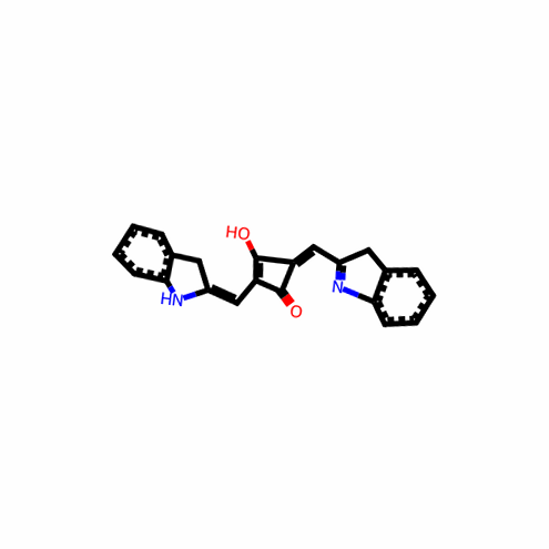 O=C1C(/C=C2\Cc3ccccc3N2)=C(O)C/1=C/C1=Nc2ccccc2C1